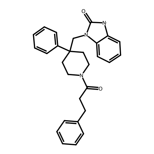 O=C(CCc1ccccc1)N1CCC(CN2C(=O)[N]c3ccccc32)(c2ccccc2)CC1